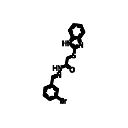 O=C(CSc1nc2ccccc2[nH]1)N/N=C/c1cccc(Br)c1